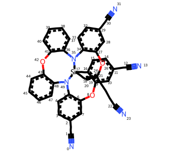 N#Cc1ccc2c(c1)Oc1cc(C#N)ccc1[Si]13c4ccc(C#N)cc4Oc4cc(C#N)ccc4N1c1ccccc1Oc1ccccc1N23